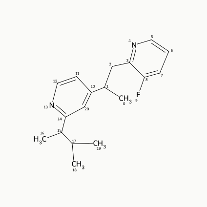 CC(Cc1ncccc1F)c1ccnc(C(C)C(C)C)c1